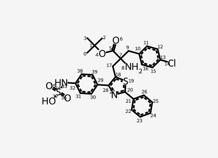 CC(C)(C)OC(=O)C(N)(Cc1ccc(Cl)cc1)Cc1sc(-c2ccccc2)nc1-c1ccc(NS(=O)(=O)O)cc1